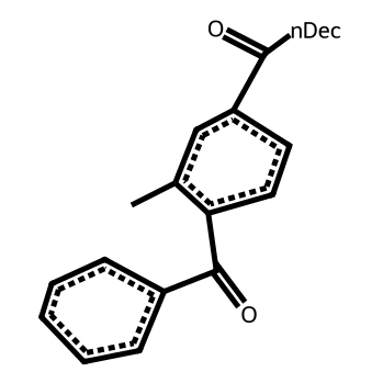 CCCCCCCCCCC(=O)c1ccc(C(=O)c2ccccc2)c(C)c1